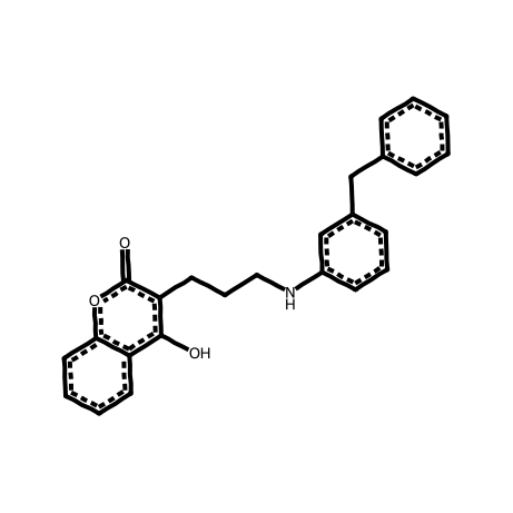 O=c1oc2ccccc2c(O)c1CCCNc1cccc(Cc2ccccc2)c1